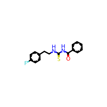 O=C(NC(=S)NCCc1ccc(F)cc1)c1ccccc1